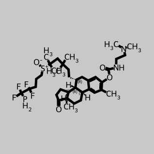 Cc1cc2c(cc1OC(=O)NCCN(C)C)C[C@@H](CCC(C)(C)CC(C)(C)[S+]([O-])CCCC(F)(F)C(F)(F)P)[C@@H]1[C@@H]2CC[C@]2(C)C(=O)CC[C@@H]12